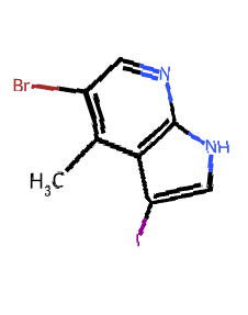 Cc1c(Br)cnc2[nH]cc(I)c12